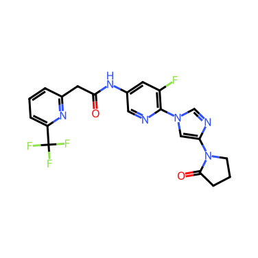 O=C(Cc1cccc(C(F)(F)F)n1)Nc1cnc(-n2cnc(N3CCCC3=O)c2)c(F)c1